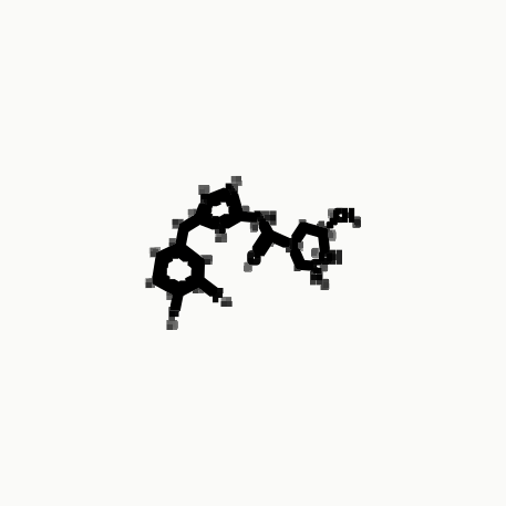 CCN(C[C@H](C)O)C(=O)Nc1nnc(Cc2ccc(F)c(F)c2)s1